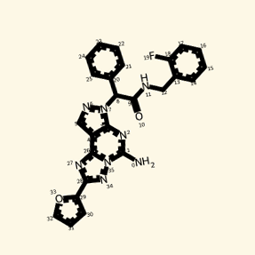 Nc1nc2c(cnn2C(C(=O)NCc2ccccc2F)c2ccccc2)c2nc(-c3ccco3)nn12